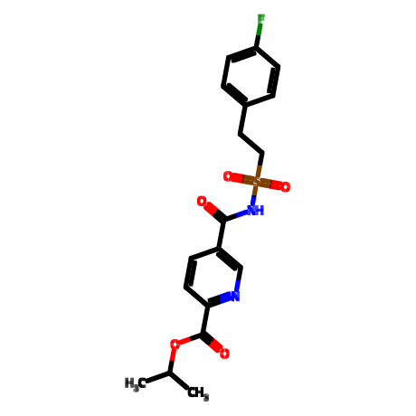 CC(C)OC(=O)c1ccc(C(=O)NS(=O)(=O)CCc2ccc(F)cc2)cn1